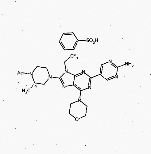 CC(=O)N1CCN(c2nc3c(N4CCOCC4)nc(-c4cnc(N)nc4)nc3n2CC(F)(F)F)C[C@@H]1C.O=S(=O)(O)c1ccccc1